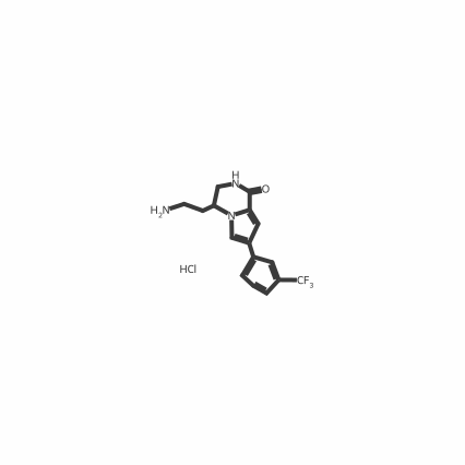 Cl.NCCC1CNC(=O)c2cc(-c3cccc(C(F)(F)F)c3)cn21